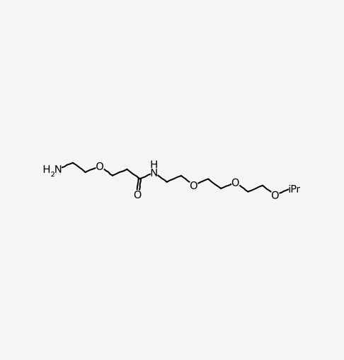 CC(C)OCCOCCOCCNC(=O)CCOCCN